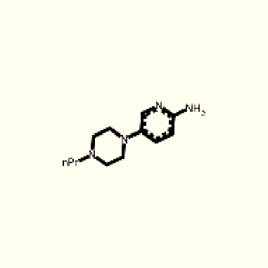 CCCN1CCN(c2ccc(N)nc2)CC1